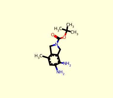 Cc1cc(N)c(N)c2c1CN(C(=O)OC(C)(C)C)C2